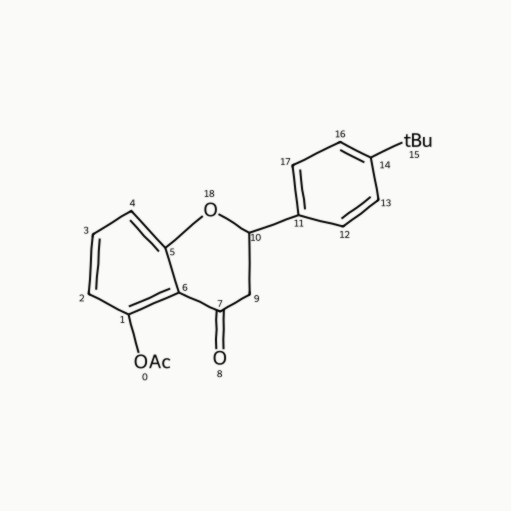 CC(=O)Oc1cccc2c1C(=O)CC(c1ccc(C(C)(C)C)cc1)O2